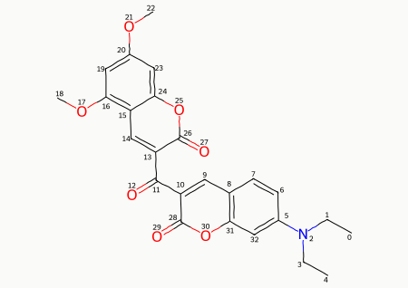 CCN(CC)c1ccc2cc(C(=O)c3cc4c(OC)cc(OC)cc4oc3=O)c(=O)oc2c1